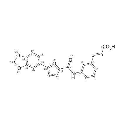 O=C(O)/C=C/c1cccc(NC(=O)c2ccc(-c3ccc4c(c3)OCO4)o2)c1